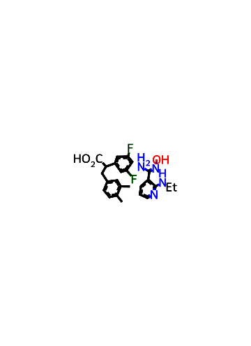 CCNc1ncccc1C(N)=NO.Cc1ccc(CC(C(=O)O)c2cc(F)cc(F)c2)cc1C